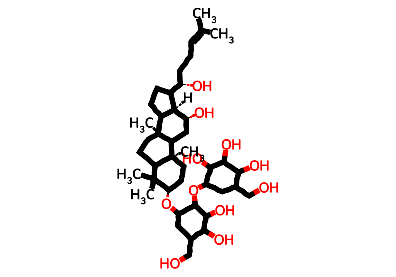 CC(C)=CCC[C@H](O)C1CCC2[C@@H]1[C@H](O)CC1[C@@]2(C)CCC2C(C)(C)[C@@H](OC3CC(CO)C(O)C(O)C3OC3CC(CO)C(O)C(O)C3O)CC[C@@]21C